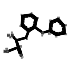 N[C@@H](Cc1ccccc1Oc1ccccc1)C(=O)O